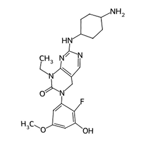 CCN1C(=O)N(c2cc(OC)cc(O)c2F)Cc2cnc(NC3CCC(N)CC3)nc21